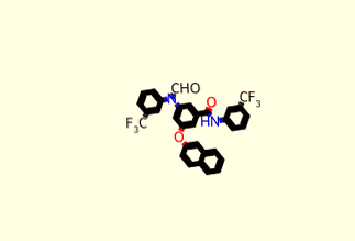 O=CN(c1cc(Oc2ccc3ccccc3c2)cc(C(=O)Nc2cccc(C(F)(F)F)c2)c1)c1cccc(C(F)(F)F)c1